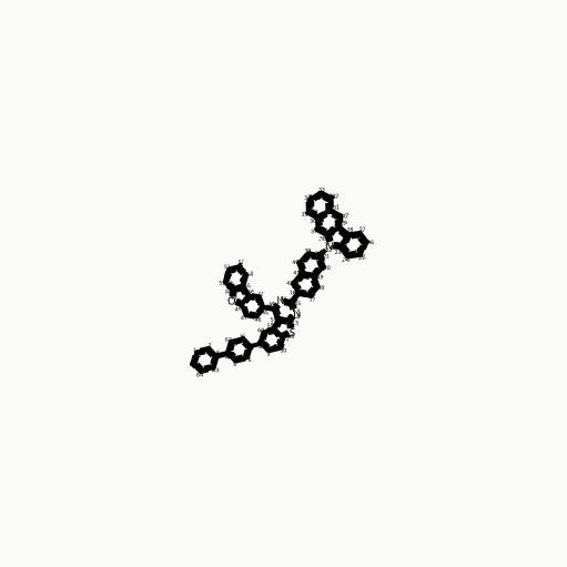 c1ccc(-c2ccc(-c3ccc4sc5nc(-c6ccc7cc(-n8c9ccccc9c9cc%10ccccc%10cc98)ccc7c6)nc(-c6ccc7oc8ccccc8c7c6)c5c4c3)cc2)cc1